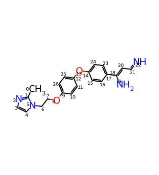 Cc1nccn1CCOc1ccc(Oc2ccc(/C(N)=C/C=N)cc2)cc1